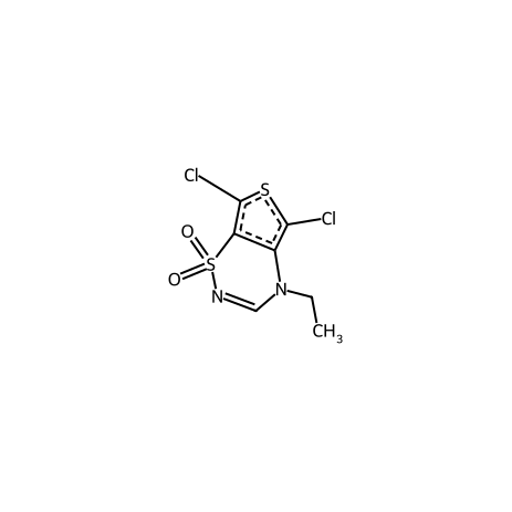 CCN1C=NS(=O)(=O)c2c(Cl)sc(Cl)c21